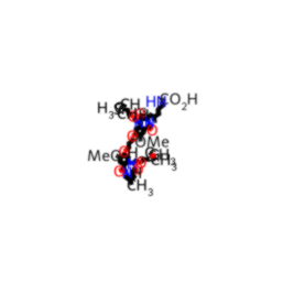 COc1cc2c(cc1OCCCOc1cc3c(cc1OC)C(=O)N1C=C(/C=C/CNC(=O)O)C[C@H]1C(=O)N3COCC[Si](C)(C)C)N(COCC[Si](C)(C)C)C(=O)[C@@H]1CC(C)=CN1C2=O